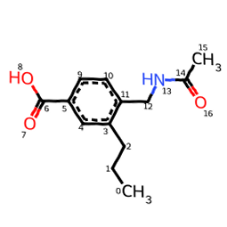 CCCc1cc(C(=O)O)ccc1CNC(C)=O